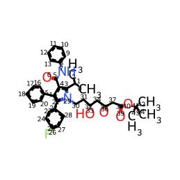 CC(C)c1c(C(=O)Nc2ccccc2)c(-c2ccccc2)c(-c2ccc(F)cc2)n1CC[C@@H](O)CC(=O)CC(=O)OC(C)(C)C